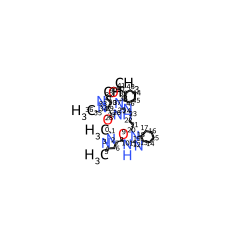 CCn1nc(C)cc1C(=O)Nc1nc2ccccc2n1C/C=C/Cn1c(NC(=O)c2cc(C)nn2CC)nc2c(C(C)=O)cccc21